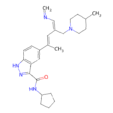 C=N/C=C(\C=C(/C)c1ccc2[nH]nc(C(=O)NC3CCCC3)c2c1)CN1CCC(C)CC1